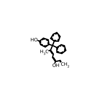 C=C/C(O)=C\C=C(/C)C(c1ccccc1)(c1ccccc1)c1ccc(O)cc1